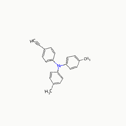 C#Cc1ccc(N(c2ccc(C)cc2)c2ccc(C)cc2)cc1